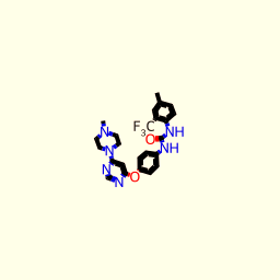 Cc1ccc(NC(=O)Nc2ccc(Oc3cc(N4CCN(C)CC4)ncn3)cc2)c(C(F)(F)F)c1